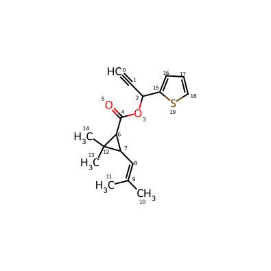 C#CC(OC(=O)C1C(C=C(C)C)C1(C)C)c1cccs1